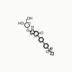 O=S(=O)(c1ccc(-c2ccc(-c3nc4nc(O[C@H]5CO[C@H](CO)[C@@H](O)C5)[nH]c4cc3Cl)cc2)cc1)N1CCC1